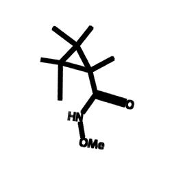 CONC(=O)C1(C)C(C)(C)C1(C)C